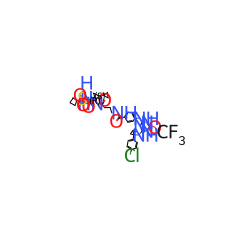 O=C(CCCNC(=O)c1ccc(Nc2nc(NC3(c4ccc(Cl)cc4)CC3)nc(OCC(F)(F)F)n2)cc1)N[C@]1(C(=O)NS(=O)(=O)C2CCC2)C[C@H]1C1CC1